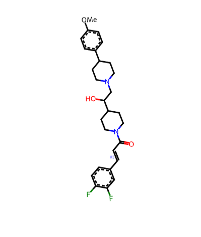 COc1ccc(C2CCN(CC(O)C3CCN(C(=O)/C=C/c4ccc(F)c(F)c4)CC3)CC2)cc1